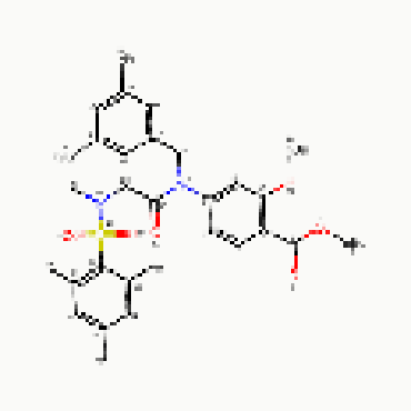 CCCCOC(=O)c1ccc(N(Cc2cc(C(C)(C)C)cc(C(C)(C)C)c2)C(=O)CN(C)S(=O)(=O)c2c(C)cc(C)cc2C)cc1OCCCC